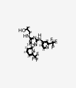 CC(O)CNc1nc(Nc2ccnc(C(F)(F)F)c2)n[14c](-c2cccc(C(F)(F)F)n2)n1